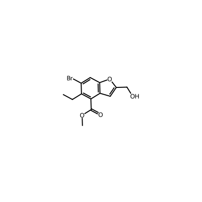 CCc1c(Br)cc2oc(CO)cc2c1C(=O)OC